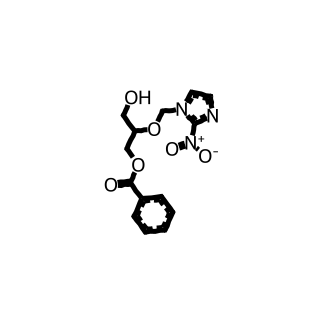 O=C(OCC(CO)OCn1ccnc1[N+](=O)[O-])c1ccccc1